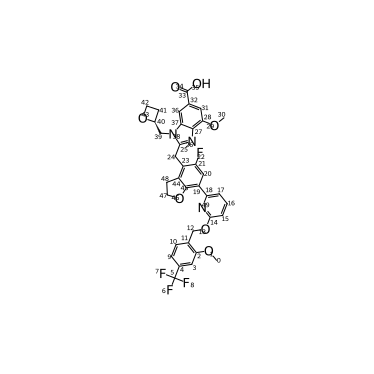 COc1cc(C(F)(F)F)ccc1COc1cccc(-c2cc(F)c(Cc3nc4c(OC)cc(C(=O)O)cc4n3C[C@@H]3CCO3)c3c2OCC3)n1